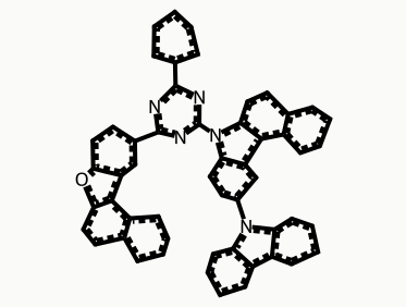 c1ccc(-c2nc(-c3ccc4oc5ccc6ccccc6c5c4c3)nc(-n3c4ccc(-n5c6ccccc6c6ccccc65)cc4c4c5ccccc5ccc43)n2)cc1